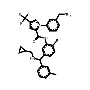 Cc1cccc(C(NCC2CC2)c2ccc(F)c(NC(=O)c3cc(C(F)(F)F)nn3-c3cccc(CN)c3)c2)c1